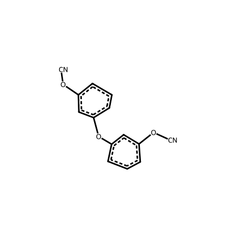 N#COc1cccc(Oc2cccc(OC#N)c2)c1